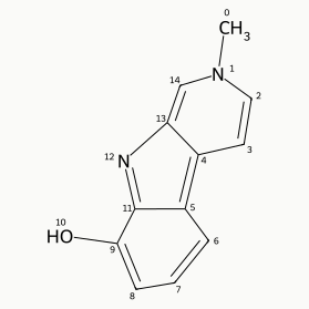 Cn1ccc2c3cccc(O)c3nc-2c1